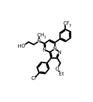 CCOCc1nn2c(-c3cccc(C(F)(F)F)c3)cc(N(C)CCO)nc2c1-c1ccc(Cl)cc1